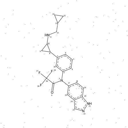 O=C(N(c1cccc(C2CC2NCC2CC2)c1)c1ccc2[nH]ncc2c1)C(F)(F)F